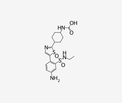 CCNS(=O)(=O)c1cc(N)ccc1-c1cnc(C2CCC(NC(=O)O)CC2)s1